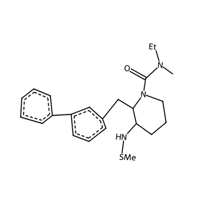 CCN(C)C(=O)N1CCCC(NSC)C1Cc1cccc(-c2ccccc2)c1